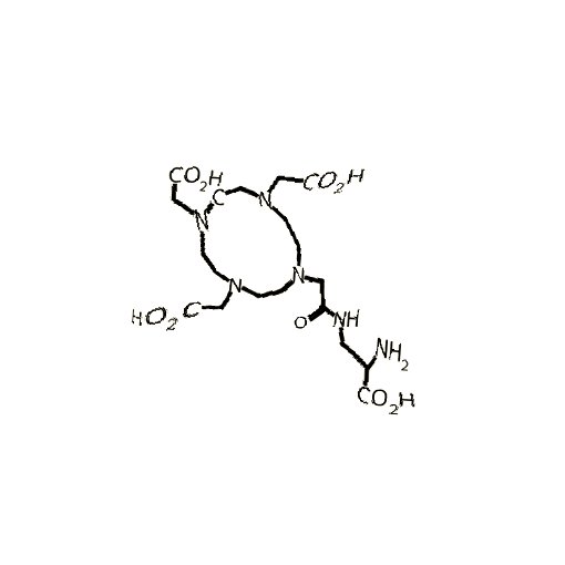 NC(CNC(=O)CN1CCN(CC(=O)O)CCN(CC(=O)O)CCN(CC(=O)O)CC1)C(=O)O